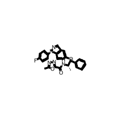 Cc1nnc(C(=O)N[C@@H](C)[C@@H](Oc2ccc3c(cnn3-c3ccc(F)cc3)c2)c2ccccc2)o1